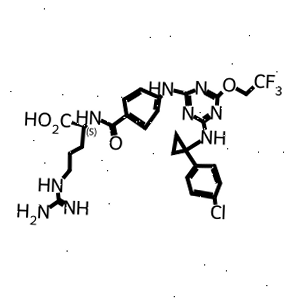 N=C(N)NCCC[C@H](NC(=O)c1ccc(Nc2nc(NC3(c4ccc(Cl)cc4)CC3)nc(OCC(F)(F)F)n2)cc1)C(=O)O